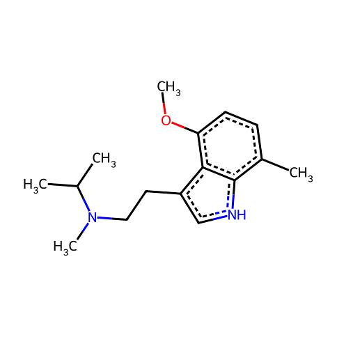 COc1ccc(C)c2[nH]cc(CCN(C)C(C)C)c12